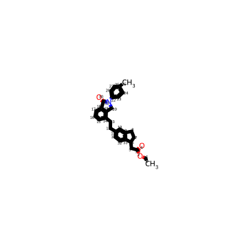 CCOC(=O)CC1CCc2cc(CCc3cccc4c3CN(c3ccc(C)cc3)C4=O)ccc21